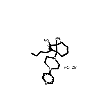 CCCCC(=O)C1(N2CCN(c3ccncc3)CC2)CCCCC1(N)C(=O)O.Cl.Cl